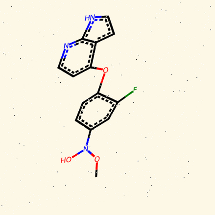 CON(O)c1ccc(Oc2ccnc3[nH]ccc23)c(F)c1